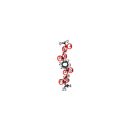 C=C(C)C(=O)OCCOC(=O)c1ccc(C(=O)OCCOC(=O)C(=C)C)cc1